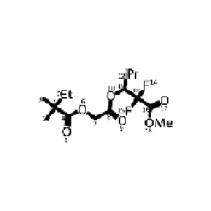 CCC(C)(C)C(=O)OCC(=O)OC(C(C)C)C(F)(F)C(=O)OC